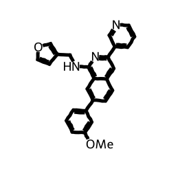 COc1cccc(-c2ccc3cc(-c4cccnc4)nc(NCc4ccoc4)c3c2)c1